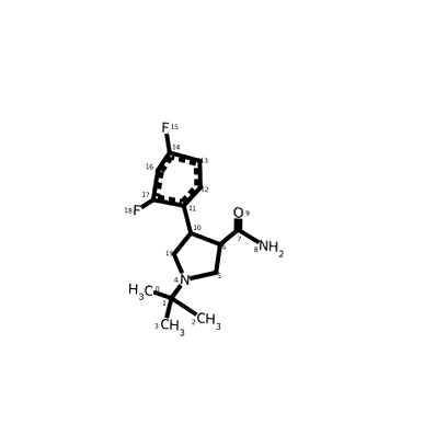 CC(C)(C)N1CC(C(N)=O)C(c2ccc(F)cc2F)C1